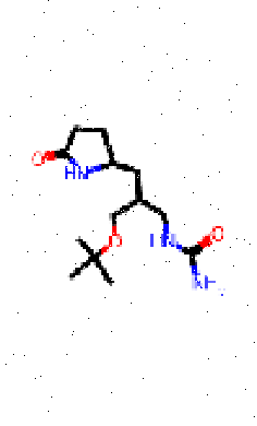 CC(C)(C)OCC(CNC(N)=O)CC1CCC(=O)N1